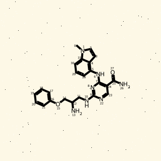 Cn1ccc2c(Nc3nc(NCC(N)COc4ccccc4)ncc3C(N)=O)cccc21